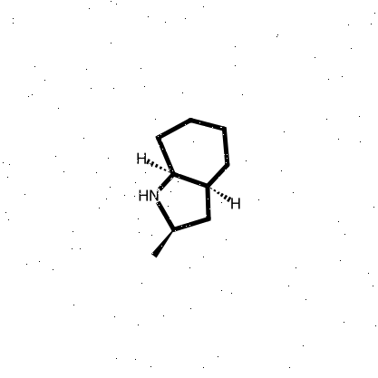 C[C@@H]1C[C@@H]2CCCC[C@@H]2N1